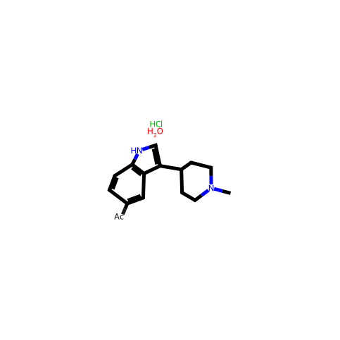 CC(=O)c1ccc2[nH]cc(C3CCN(C)CC3)c2c1.Cl.O